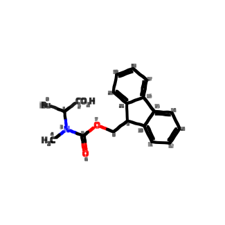 CCC(C)C(C(=O)O)N(C)C(=O)OCC1c2ccccc2-c2ccccc21